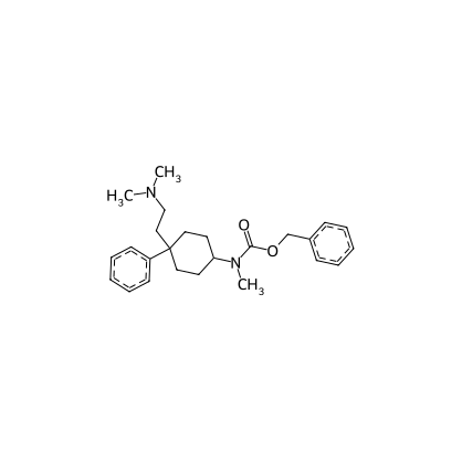 CN(C)CCC1(c2ccccc2)CCC(N(C)C(=O)OCc2ccccc2)CC1